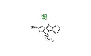 CC1=C[CH]([Zr]([CH3])([CH3])(=[SiH2])[C]2=CC=C(C(C)(C)C)C2)c2ccccc21.Cl.Cl